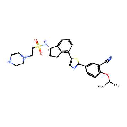 CC(C)Oc1ccc(-c2ncc(-c3cccc4c3CC[C@@H]4NS(=O)(=O)CCN3CCNCC3)s2)cc1C#N